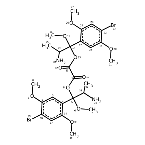 COc1cc(C(OC)(OC(=O)C(=O)OC(OC)(c2cc(OC)c(Br)cc2OC)C(C)N)C(C)N)c(OC)cc1Br